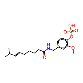 COc1cc(CNC(=O)CCCCC=CC(C)C)ccc1OS(=O)(=O)O